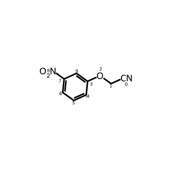 N#CCOc1[c]ccc([N+](=O)[O-])c1